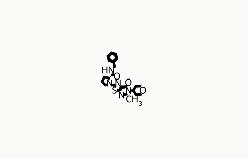 Cc1nc2sc(N3CCC[C@@H]3C(=O)NCc3ccccc3)nc2c(=O)n1C1CCOCC1